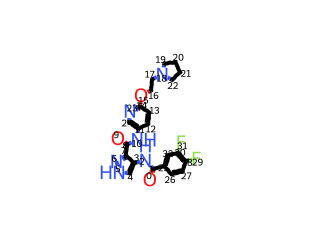 O=C(Nc1c[nH]nc1C(=O)Nc1ccc(OCCN2CCCC2)nc1)c1ccc(F)c(F)c1